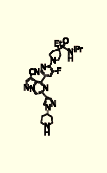 CCC1(C(=O)NC(C)C)CCN(c2ncc(-c3nc(-c4cnn(C5CCNCC5)c4)cn4ncc(C#N)c34)cc2F)CC1